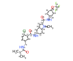 CC(C)C(=O)NCc1ccc(Cl)c(C(=O)Nc2ccc3c(c2)cc(C(=O)Nc2ccc(OC(F)(F)F)cc2)n3C)c1